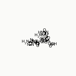 Nc1nc2c(ncn2[C@@H]2O[C@H](CO[PH](=O)O)C(O)C2OP(=O)(O)OC[C@]23COC(C2O)[C@H](n2cnc4c(N)ncnc42)O3)c(=O)[nH]1